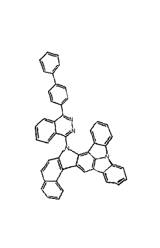 c1ccc(-c2ccc(-c3nnc(-n4c5ccc6ccccc6c5c5cc6c7ccccc7n7c8ccccc8c(c54)c67)c4ccccc34)cc2)cc1